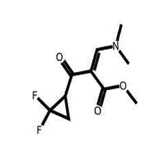 COC(=O)C(=CN(C)C)C(=O)C1CC1(F)F